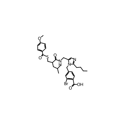 CCCCc1ncc(CNC(=O)C(CSC(=O)c2ccc(OC)cc2)CC(C)C)n1Cc1ccc(C(=O)O)c(Br)c1